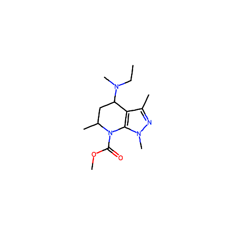 CCN(C)C1CC(C)N(C(=O)OC)c2c1c(C)nn2C